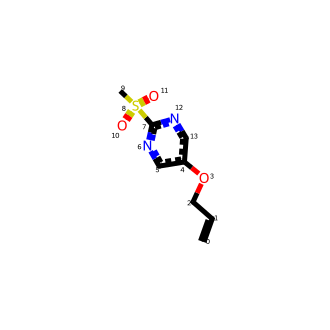 C=CCOc1cnc(S(C)(=O)=O)nc1